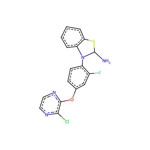 NC1Sc2ccccc2N1c1ccc(Oc2nccnc2Cl)cc1F